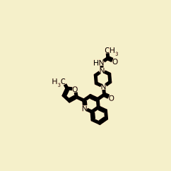 CC(=O)NN1CCN(C(=O)c2cc(-c3ccc(C)o3)nc3ccccc23)CC1